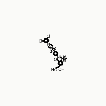 CN(c1ccc([C@H](O)CO)cc1C(=O)Nc1ccc(S(=O)(=O)N2CCN(c3cc(Cl)cc(Cl)c3)CC2)cc1)S(C)(=O)=O